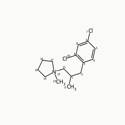 CC(Cc1ccc(Cl)cc1Cl)C[N+]1(C)CCCC1